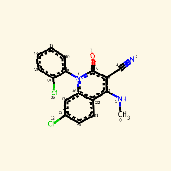 CNc1c(C#N)c(=O)n(-c2ccccc2Cl)c2cc(Cl)ccc12